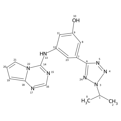 CC(C)n1nnc(-c2cc(O)cc(Nc3ncnc4cccn34)c2)n1